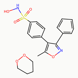 C1CCOOC1.Cc1onc(-c2ccccc2)c1-c1ccc(S(=O)(=O)NO)cc1